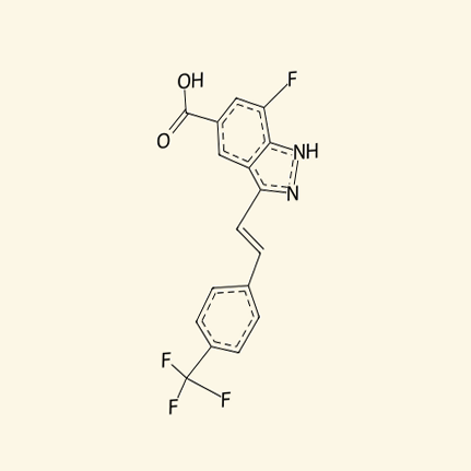 O=C(O)c1cc(F)c2[nH]nc(C=Cc3ccc(C(F)(F)F)cc3)c2c1